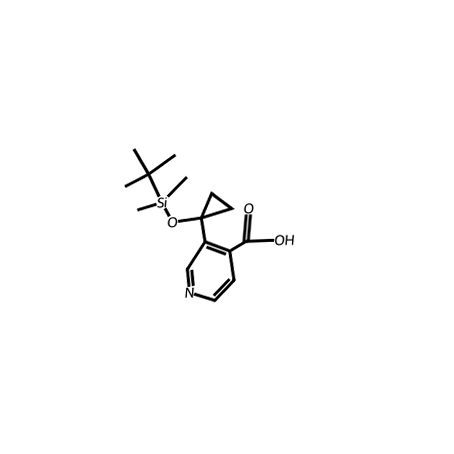 CC(C)(C)[Si](C)(C)OC1(c2cnccc2C(=O)O)CC1